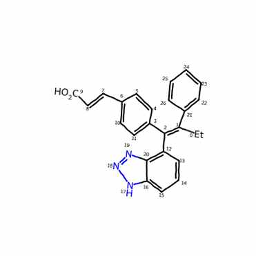 CC/C(=C(/c1ccc(/C=C/C(=O)O)cc1)c1cccc2[nH]nnc12)c1ccccc1